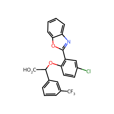 O=C(O)C(Oc1ccc(Cl)cc1-c1nc2ccccc2o1)c1cccc(C(F)(F)F)c1